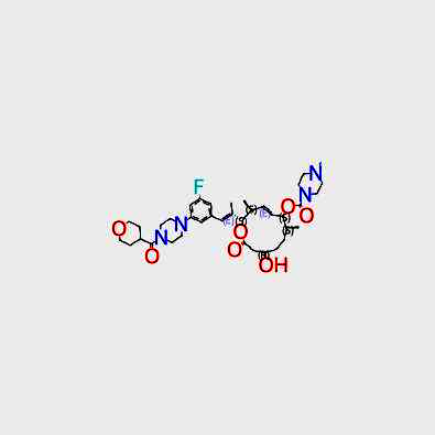 C/C(=C\c1cc(F)cc(N2CCN(C(=O)C3CCOCC3)CC2)c1)[C@H]1OC(=O)C[C@H](O)CC[C@H](C)[C@H](OC(=O)N2CCN(C)CC2)/C=C/[C@@H]1C